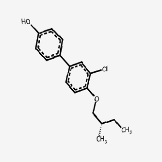 CC[C@H](C)COc1ccc(-c2ccc(O)cc2)cc1Cl